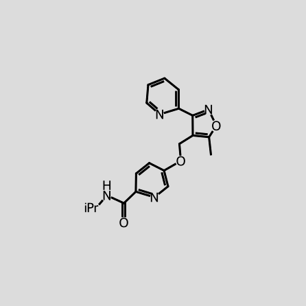 Cc1onc(-c2ccccn2)c1COc1ccc(C(=O)NC(C)C)nc1